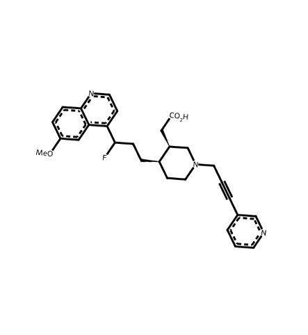 COc1ccc2nccc(C(F)CC[C@@H]3CCN(CC#Cc4cccnc4)C[C@@H]3CC(=O)O)c2c1